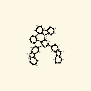 c1ccc2c(c1)-c1c(-c3ccc4sc5ccccc5c4c3)nc(-c3ccc4sc5ccccc5c4c3)nc1-n1c3ccccc3c3cccc-2c31